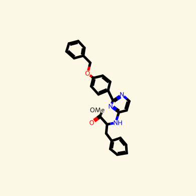 COC(=O)C(Cc1ccccc1)Nc1ccnc(-c2ccc(OCc3ccccc3)cc2)n1